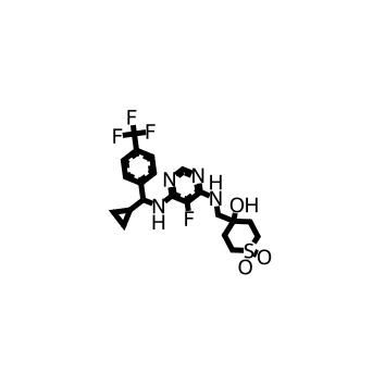 O=S1(=O)CCC(O)(CNc2ncnc(NC(c3ccc(C(F)(F)F)cc3)C3CC3)c2F)CC1